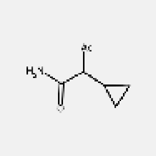 CC(=O)C(C(N)=O)C1CC1